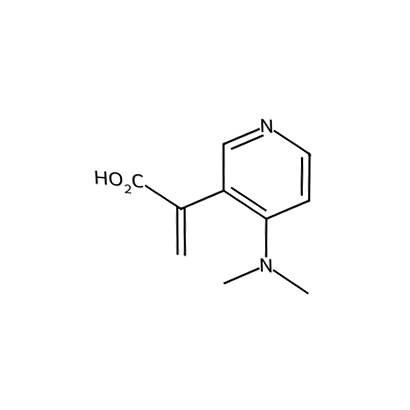 C=C(C(=O)O)c1cnccc1N(C)C